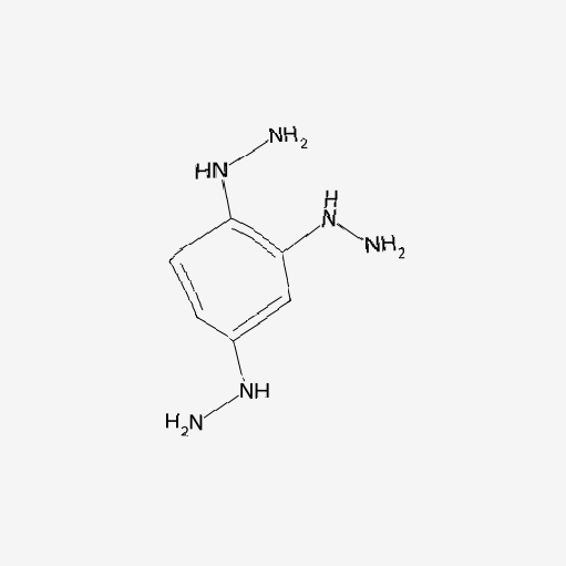 NNc1ccc(NN)c(NN)c1